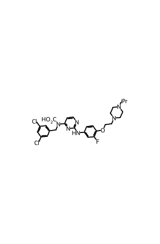 CC(C)N1CCN(CCOc2ccc(Nc3nccc(N(Cc4cc(Cl)cc(Cl)c4)C(=O)O)n3)cc2F)CC1